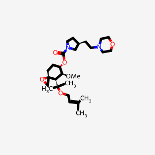 CO[C@H]1[C@H](C(C)(C)OCC=C(C)C)[C@]2(CC[C@H]1OC(=O)N1CC[C@@H](CCN3CCOCC3)C1)CO2